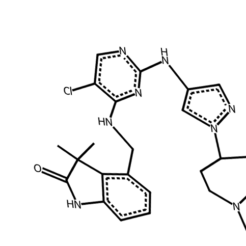 CN1CCC(n2cc(Nc3ncc(Cl)c(NCc4cccc5c4C(C)(C)C(=O)N5)n3)cn2)CC1